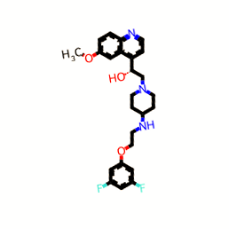 COc1ccc2nccc([C@@H](O)CN3CCC(NCCOc4cc(F)cc(F)c4)CC3)c2c1